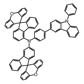 c1ccc(-n2c3ccccc3c3cc(-c4ccc(N(c5ccc6c(c5)-c5ccccc5C65c6ccccc6Oc6ccccc65)c5cccc6c5-c5ccccc5C65c6ccccc6Oc6ccccc65)cc4)ccc32)cc1